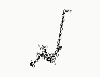 [CH2]c1ccc(NC(=O)[C@H](CCCNC(N)=O)NC(=O)[C@@H](NC(=O)CCOCCN2C(=O)C=CC2=O)C(C)C)cc1NC(=O)CNC(=O)OCc1cn(CCOCCOCCOCCOCCOCCOCCOCCOC)nn1